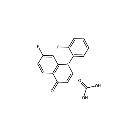 O=C(O)O.O=c1ccn(-c2ccccc2F)c2cc(F)ccc12